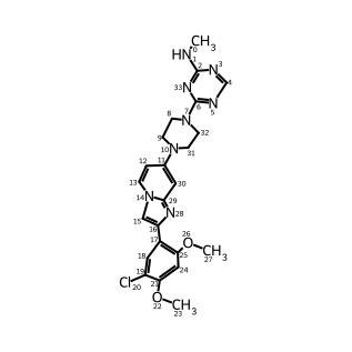 CNc1ncnc(N2CCN(c3ccn4cc(-c5cc(Cl)c(OC)cc5OC)nc4c3)CC2)n1